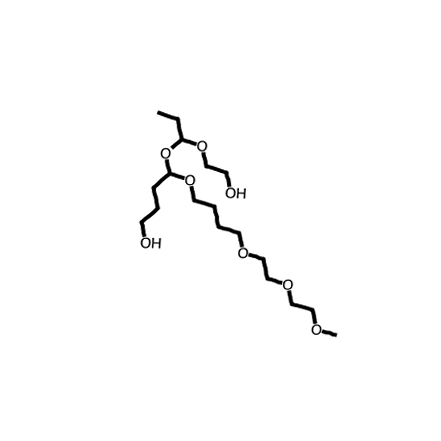 CCC(OCCO)OC(CCCO)OCCCCOCCOCCOC